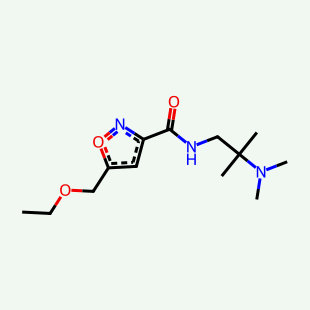 CCOCc1cc(C(=O)NCC(C)(C)N(C)C)no1